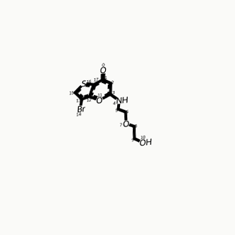 O=c1cc(NCCOCCO)oc2c(Br)csc12